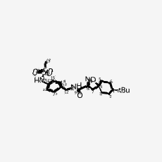 CC(C)(C)[C@H]1CC[C@@]2(CC1)CC(C(=O)NCc1ccc(NS(C)(=O)=O)cc1)=NO2